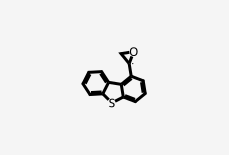 c1ccc2c(c1)sc1cccc([C]3CO3)c12